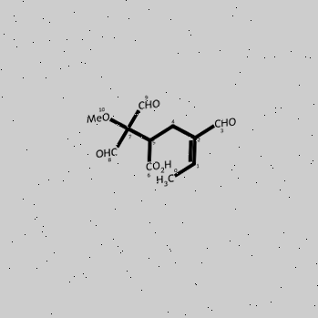 CC=C(C=O)CC(C(=O)O)C(C=O)(C=O)OC